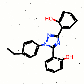 CCc1ccc(-n2nc(-c3ccccc3O)nc2-c2ccccc2O)cc1